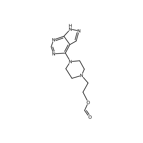 O=COCCN1CCN(c2ncnc3[nH]ncc23)CC1